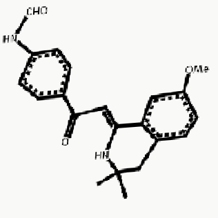 COc1ccc2c(c1)/C(=C/C(=O)c1ccc(NC=O)cc1)NC(C)(C)C2